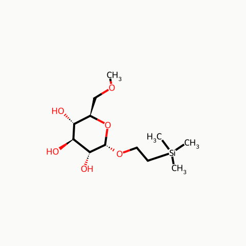 COC[C@H]1O[C@H](OCC[Si](C)(C)C)[C@H](O)[C@@H](O)[C@@H]1O